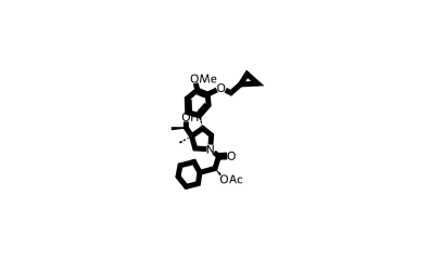 COc1ccc([C@@H]2CN(C(=O)[C@H](OC(C)=O)C3CCCCC3)C[C@@]2(C)[C@@H](C)O)cc1OCC1CC1